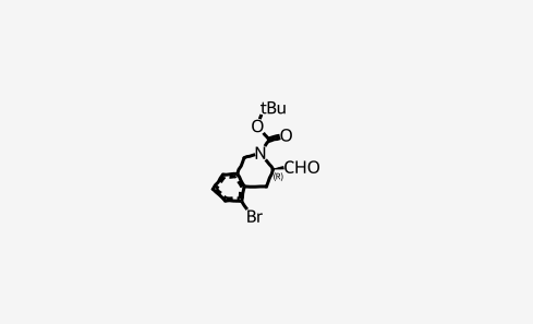 CC(C)(C)OC(=O)N1Cc2cccc(Br)c2C[C@@H]1C=O